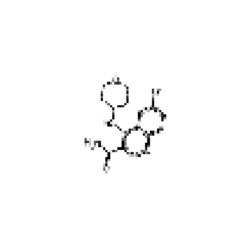 NC(=O)c1cnc2ccc(Br)cc2c1NC1CCOCC1